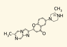 Cc1cn2cc(-c3cc(=O)c4cc(N5CCN[C@@H](C)C5)ccc4o3)nc2cn1